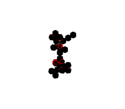 c1ccc(-c2ccc(-c3ccc(N(c4ccc5c6ccc(-c7ccc8c(c7)c7ccccc7n8-c7cc8c(cc7N(c7ccc9c%10ccccc%10c%10ccccc%10c9c7)c7ccccc7-c7ccccc7)C7(c9ccccc9-c9ccccc97)c7ccccc7-8)cc6c6ccccc6c5c4)c4cc5c(cc4-n4c6ccccc6c6ccccc64)-c4ccccc4C54c5ccccc5-c5ccccc54)cc3)cc2)cc1